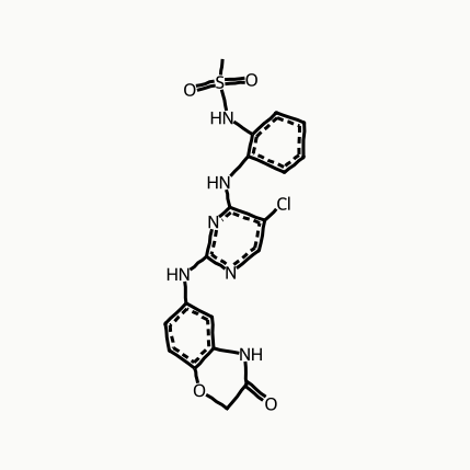 CS(=O)(=O)Nc1ccccc1Nc1nc(Nc2ccc3c(c2)NC(=O)CO3)ncc1Cl